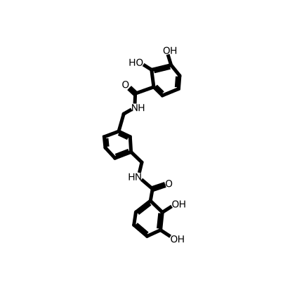 O=C(NCc1cccc(CNC(=O)c2cccc(O)c2O)c1)c1cccc(O)c1O